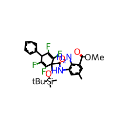 COC(=O)c1cc(C)cc(NC(=O)C2(CO[Si](C)(C)C(C)(C)C)C(F)=C(F)C(c3ccccc3)C(F)=C2F)c1N